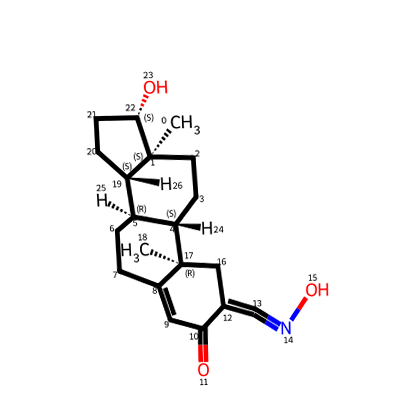 C[C@]12CC[C@H]3[C@@H](CCC4=CC(=O)C(=C=NO)C[C@@]43C)[C@@H]1CC[C@@H]2O